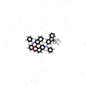 CC1(C)c2ccccc2-c2ccc(N(c3ccccc3)c3ccc4c(ccc5cccc(-c6cc7ccccc7cc6N(c6ccccc6)c6ccccc6)c54)c3)cc21